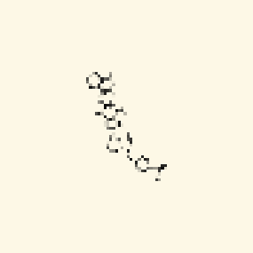 CC#CCn1c(N2CCCC(N=Cc3ccc([N+](=O)[O-])cc3)C2)nc2c1c(=O)n(Cc1nc(C)c3ccccc3n1)c(=O)n2C